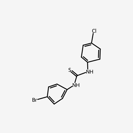 S=C(Nc1ccc(Cl)cc1)Nc1ccc(Br)cc1